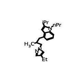 CCCn1c(C(C)C)cc2c(CC(C)Cn3cc(CC)cn3)cccc21